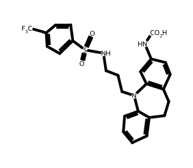 O=C(O)Nc1ccc2c(c1)N(CCCNS(=O)(=O)c1ccc(C(F)(F)F)cc1)c1ccccc1CC2